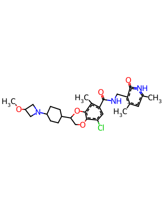 COC1CN(C2CCC(C3COc4c(Cl)cc(C(=O)NCc5c(C)cc(C)[nH]c5=O)c(C)c4O3)CC2)C1